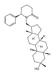 C[C@@]1(O)CC[C@H]2[C@H](CC[C@@H]3[C@@H]2CC[C@]2(C)[C@@H](CN4C(=O)CCC[C@@H]4c4ccccc4)CC[C@@H]32)C1